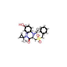 N#CC1(NC(=O)[C@H](CS(=O)(=O)Cc2ccccc2)N(CC(F)(F)F)c2ccc(O)cc2)CC1